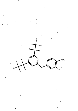 Cc1cc(Cc2nc(C(F)(F)C(F)(F)F)cc(C(F)(F)C(F)(F)F)n2)ccc1N